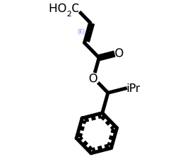 CC(C)C(OC(=O)/C=C/C(=O)O)c1ccccc1